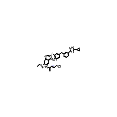 C=C(/C=C/CCl)Nc1cc2c(Nc3ccc(Cc4cccc(-c5nnc(C6CC6)o5)c4)cc3F)ncnc2cc1N(C)CC